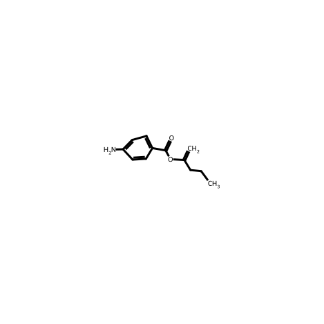 C=C(CCC)OC(=O)c1ccc(N)cc1